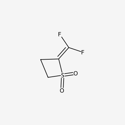 O=S1(=O)CCC1=C(F)F